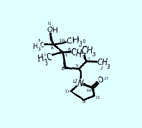 CC(C)C(CC(C)(C)C(C)(C)O)N1CCCC1=O